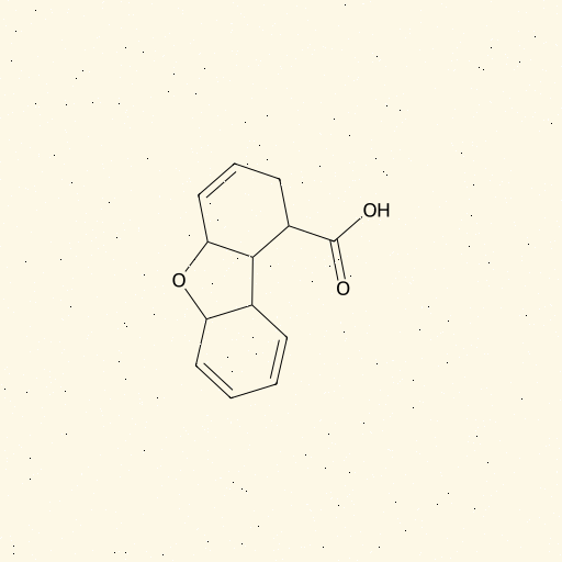 O=C(O)C1CC=CC2OC3C=CC=CC3C21